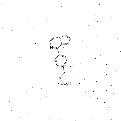 O=C(O)CC[n+]1ccc(-c2nccn3cnnc23)cc1